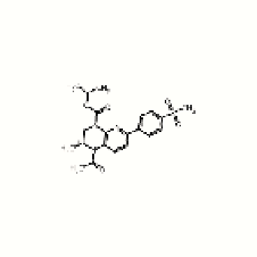 CC(=O)N1c2ccc(-c3ccc(S(C)(=O)=O)cc3)nc2N(C(=O)OC(C)C)C[C@@H]1C